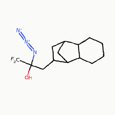 [N-]=[N+]=NC(O)(CC1CC2CC1C1CCCCC21)C(F)(F)F